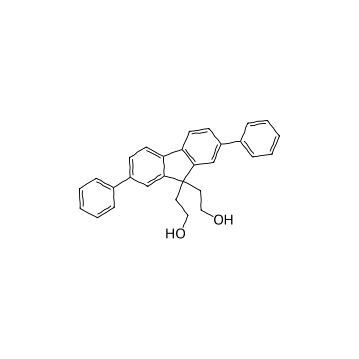 OCCC1(CCO)c2cc(-c3ccccc3)ccc2-c2ccc(-c3ccccc3)cc21